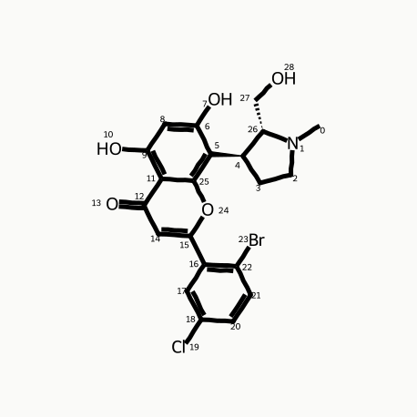 CN1CC[C@@H](c2c(O)cc(O)c3c(=O)cc(-c4cc(Cl)ccc4Br)oc23)[C@@H]1CO